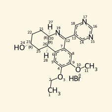 Br.CCOc1cc2c(cc1OC)C(c1cncnc1)=N[C@@H]1CC[C@@H](O)C[C@H]21